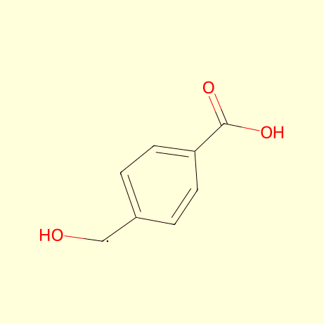 O=C(O)c1ccc([CH]O)cc1